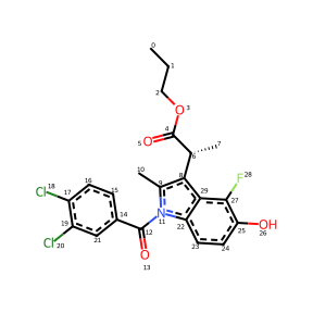 CCCOC(=O)[C@H](C)c1c(C)n(C(=O)c2ccc(Cl)c(Cl)c2)c2ccc(O)c(F)c12